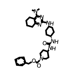 CN(C)c1nc(N[C@H]2CC[C@@H](NC(=O)NC3CCN(C(=O)OCc4ccccc4)CC3)CC2)nc2c1CCCC2